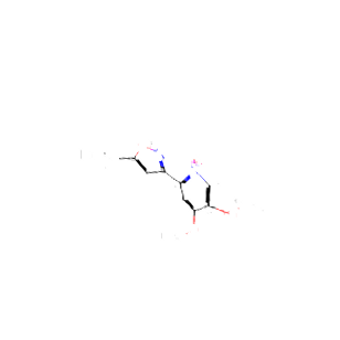 CCCCOc1cc(-c2cc(C(=O)O)on2)[n+](O)cc1OCCCC